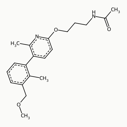 COCc1cccc(-c2ccc(OCCCNC(C)=O)nc2C)c1C